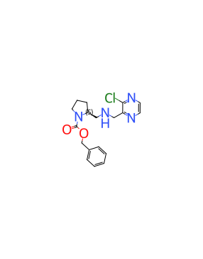 O=C(OCc1ccccc1)N1CCC[C@H]1CNCc1nccnc1Cl